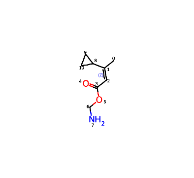 C/C(=C/C(=O)OCN)C1CC1